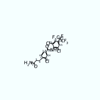 NC(=O)CCc1ccc(C(=O)Nc2c(Cl)cc(C(F)(C(F)(F)F)C(F)(F)F)cc2Cl)cc1Cl